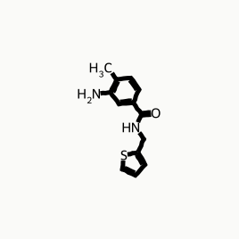 Cc1ccc(C(=O)NCc2cccs2)cc1N